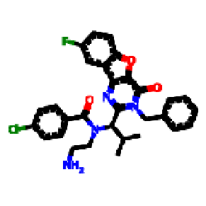 CC(C)C(c1nc2c(oc3ccc(F)cc32)c(=O)n1Cc1ccccc1)N(CCN)C(=O)c1ccc(Cl)cc1